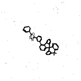 CC1(C)c2ccccc2C2(c3ccccc3-c3c(-c4cccc(-c5nnc(-c6ccccc6)o5)c4)cccc32)c2ccccc21